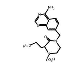 COCCC1C(=O)N(Cc2ccc3c(N)ncnc3c2)CCN1C(=O)O